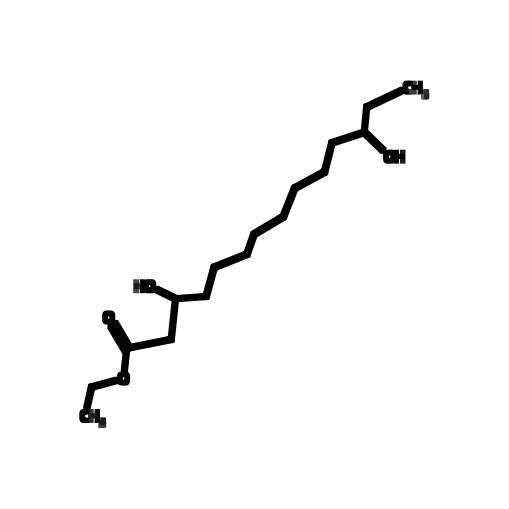 CCOC(=O)CC(O)CCCCCCCCC(O)CC